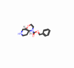 O=C(OCc1ccccc1)N1CCO[C@H]2CNCC[C@@H]21